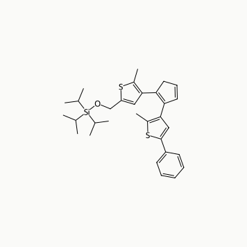 Cc1sc(-c2ccccc2)cc1C1=C(c2cc(CO[Si](C(C)C)(C(C)C)C(C)C)sc2C)CC=C1